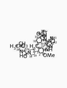 COc1cc(C2CCN(C(=O)[C@@H]3COC(C)(C)CN3)CC2)c(C)cc1Nc1nc(Nc2ccccc2S(=O)(=O)C(C)C)n2nccc2n1